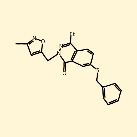 CCc1nn(Cc2cc(C)no2)c(=O)c2cc(SCc3ccccc3)ccc12